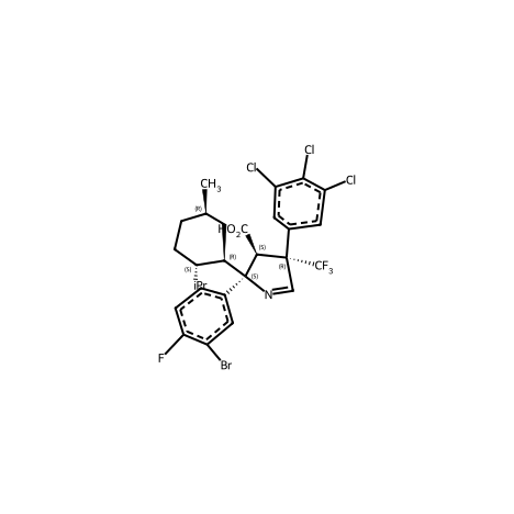 CC(C)[C@@H]1CC[C@@H](C)C[C@H]1[C@]1(c2ccc(F)c(Br)c2)N=C[C@@](c2cc(Cl)c(Cl)c(Cl)c2)(C(F)(F)F)[C@@H]1C(=O)O